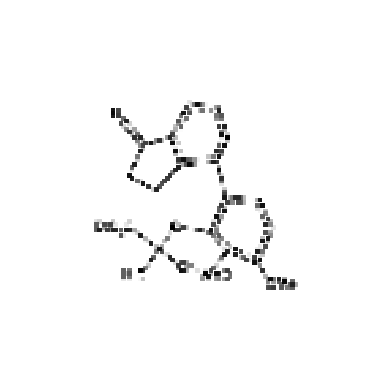 CCOC(=O)C(C)(C)Oc1c(-c2cccc3c2CCC3=O)ccc(OC)c1OC